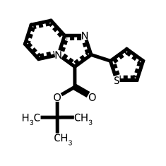 CC(C)(C)OC(=O)c1c(-c2cccs2)nc2ccccn12